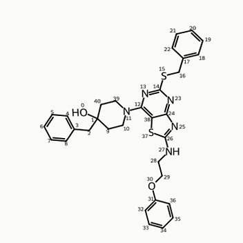 OC1(Cc2ccccc2)CCN(c2nc(SCc3ccccc3)nc3nc(NCCOc4ccccc4)sc23)CC1